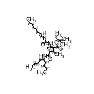 CCCCCCCCNC(=O)Nc1sc(C(=O)NC(CCCC)CCCC)c(C)c1C(=O)OC(C)(C)C